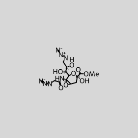 COC(=O)[C@@]1(O)CC2O[C@]2(NC(=O)CN=[N+]=[N-])C([C@H](O)[C@H](O)CN=[N+]=[N-])O1